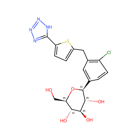 OC[C@H]1O[C@@H](c2ccc(Cl)c(Cc3ccc(-c4nnn[nH]4)s3)c2)[C@H](O)[C@@H](O)[C@@H]1O